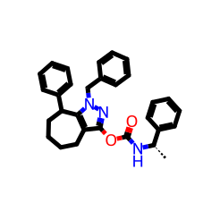 C[C@H](NC(=O)Oc1nn(Cc2ccccc2)c2c1CCCCC2c1ccccc1)c1ccccc1